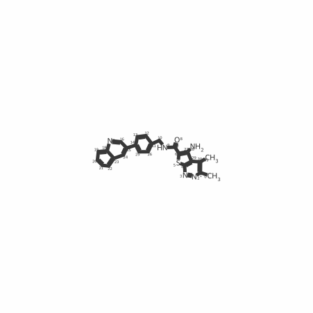 Cc1nnc2sc(C(=O)NCc3ccc(-c4cnc5ccccc5c4)cc3)c(N)c2c1C